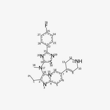 CCc1nc2ccc(C3=CCNCC3)cn2c1N(C)c1nc(-c2ccc(F)cc2)ns1